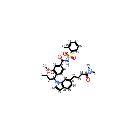 CCCC(c1ccc(C(=O)NS(=O)(=O)c2ccccc2C)cc1OC)n1ccc2ccc(CCCC(=O)N(C)C)cc21